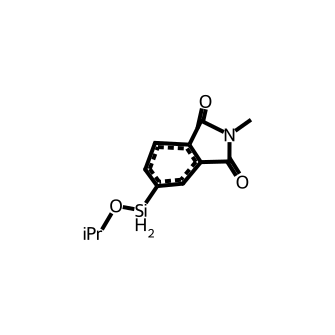 CC(C)O[SiH2]c1ccc2c(c1)C(=O)N(C)C2=O